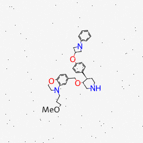 COCCCN1CCOc2ccc(CO[C@H]3CNCC[C@@H]3c3ccc(OC4CN(c5ccccc5)C4)cc3)cc21